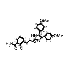 COc1ccc(-c2nc(SCCc3cccc(C(N)=O)c3Cl)[nH]c2-c2ccc(OC)cc2)cc1